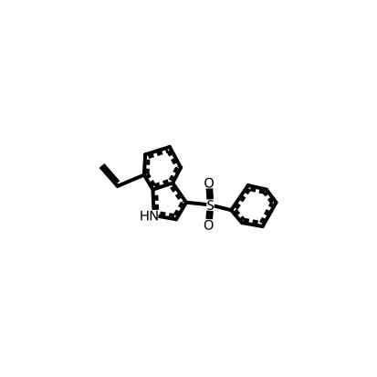 C=Cc1cccc2c(S(=O)(=O)c3ccccc3)c[nH]c12